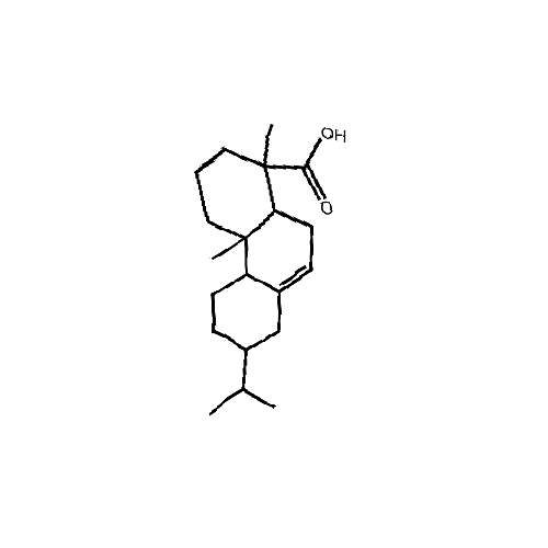 CC(C)C1CCC2C(=CCC3C(C)(C(=O)O)CCCC23C)C1